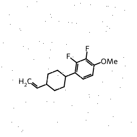 C=CC1CCC(c2ccc(OC)c(F)c2F)CC1